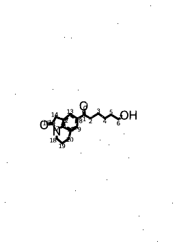 O=C(CCCCCO)c1cc2c3c(c1)CC(=O)N3CCC2